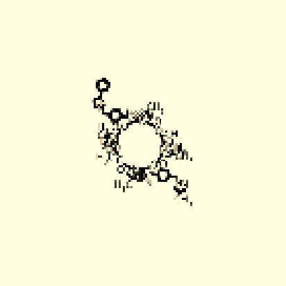 Cc1cnn(Cc2ccc(C[C@H]3OC(=O)[C@H](CC(C)C)N(C)C(=O)[C@@H](C)OC(=O)[C@H](CC(C)C)N(C)C(=O)[C@@H](Cc4ccc(Cn5ccc(-c6ccccc6)n5)cc4)OC(=O)[C@H](CC(C)C)N(C)C(=O)[C@@H](C)OC(=O)[C@H](CC(C)C)N(C)C3=O)cc2)c1